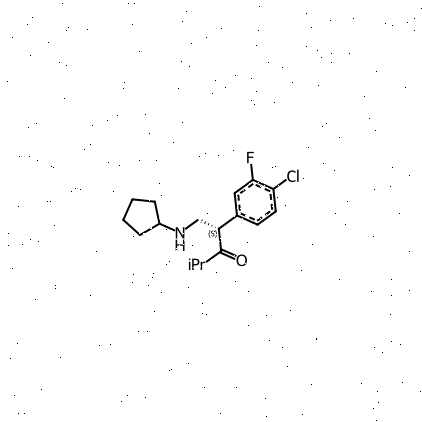 CC(C)C(=O)[C@H](CNC1CCCC1)c1ccc(Cl)c(F)c1